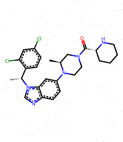 C[C@H](c1ccc(Cl)cc1Cl)n1cnc2ccc(N3CCN(C(=O)[C@H]4CCCCN4)C[C@@H]3C)cc21